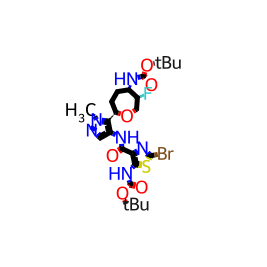 Cn1ncc(NC(=O)c2nc(Br)sc2NC(=O)OC(C)(C)C)c1[C@@H]1CC[C@@H](NC(=O)OC(C)(C)C)[C@@H](F)CO1